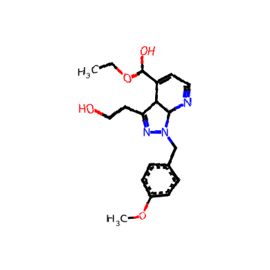 CCOC(O)C1=CC=NC2C1C(CCO)=NN2Cc1ccc(OC)cc1